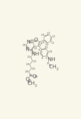 CCNc1ccc(-c2c(-c3ccccc3)oc3ncnc(NCCCCCC(=O)OC)c23)cc1